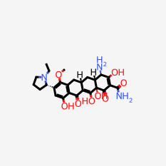 CCN1CCC[C@H]1c1cc(O)c2c(c1OC)C[C@@H]1C[C@@H]3[C@@H](N)C(O)=C(C(N)=O)C(=O)[C@]3(O)C(O)=C1C2=O